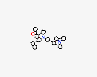 c1ccc(N(c2ccc(-c3ccc(-c4ccccc4-n4c5ccccc5c5ccccc54)cc3)cc2)c2ccc(-c3cccc4ccccc34)cc2)c(-c2cccc3oc4ccccc4c23)c1